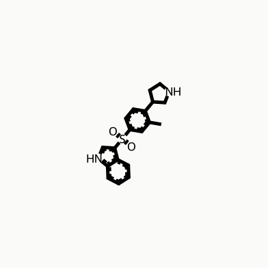 Cc1cc(S(=O)(=O)c2c[nH]c3ccccc23)ccc1C1CCNC1